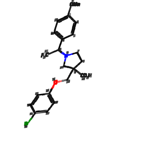 COc1ccc(C(N2CCC(COc3ccc(Br)cc3)(C(=O)O)C2)C(F)(F)F)cc1